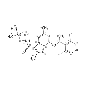 Cc1cc(OC(C)c2c(F)cccc2F)c2nc(C)c(C(=O)NCC(C)(C)N)n2c1